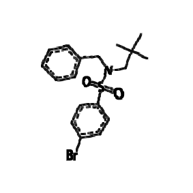 CC(C)(C)CN(Cc1ccccc1)S(=O)(=O)c1ccc(Br)cc1